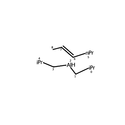 CC(C)[CH2][AlH][CH2]C(C)C.[CH2]CCC=CC